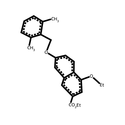 CCOC(=O)c1cc(OCC)c2ccc(OCc3c(C)cccc3C)cc2c1